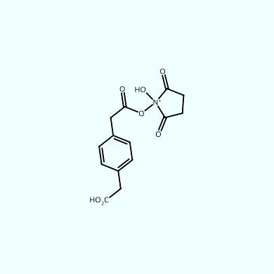 O=C(O)Cc1ccc(CC(=O)O[N+]2(O)C(=O)CCC2=O)cc1